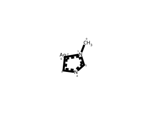 Cn1ccnc1.[Ag]